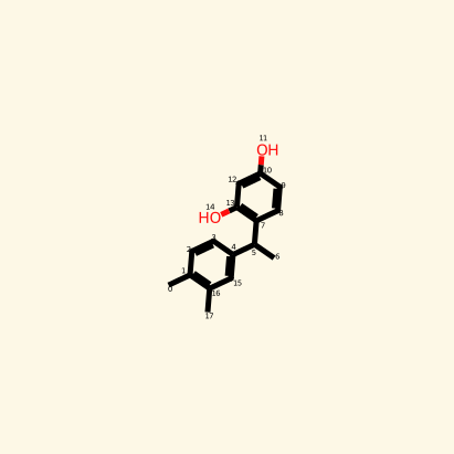 Cc1ccc(C(C)c2ccc(O)cc2O)cc1C